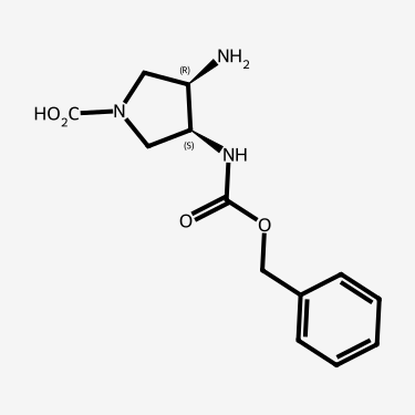 N[C@@H]1CN(C(=O)O)C[C@@H]1NC(=O)OCc1ccccc1